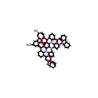 CC(C)(C)C1=Cc2c(n(-c3cc4c5c(c3)N(c3c(-c6ccccc6)cccc3-c3ccccc3)c3cc(N6C7CC8CC(C7)CC6C8)ccc3B5c3ccc(-n5c6ccccc6c6ccccc65)cc3N4c3c(C4=CCCC=C4)cccc3-c3ccccc3)c3ccc(C(C)(C)C)cc23)CC#C1